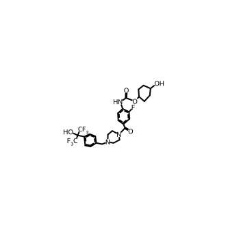 O=C(Nc1ccc(C(=O)N2CCN(Cc3ccc(C(O)(C(F)(F)F)C(F)(F)F)cc3)CC2)cc1F)OC1CCC(O)CC1